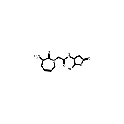 NC1CC=CCN(CC(=O)NC2CC(=O)OC2O)C1=O